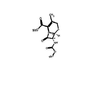 COC(=O)C1=C(C)CS[C@H]2[C@H](NC(=O)OC(C)(C)C)C(=O)N12